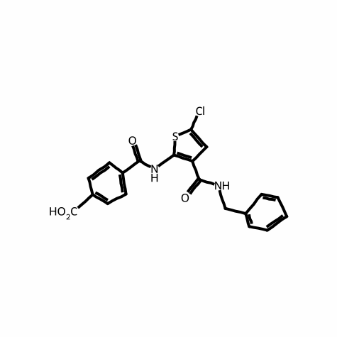 O=C(O)c1ccc(C(=O)Nc2sc(Cl)cc2C(=O)NCc2ccccc2)cc1